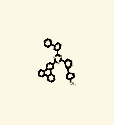 Cc1ccc(-c2cccc(-c3nc(-c4cccc(-c5ccccc5)c4)nc(-c4ccc5c6ccccc6c6ccccc6c5c4)n3)c2)cc1